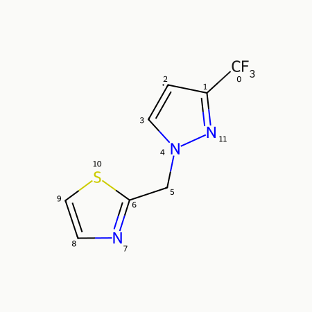 FC(F)(F)c1[c]cn(Cc2nccs2)n1